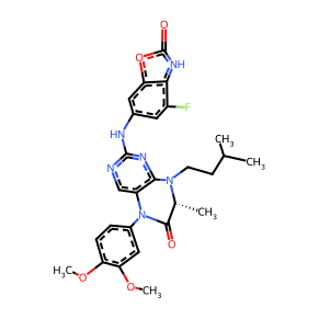 COc1ccc(N2C(=O)[C@@H](C)N(CCC(C)C)c3nc(Nc4cc(F)c5[nH]c(=O)oc5c4)ncc32)cc1OC